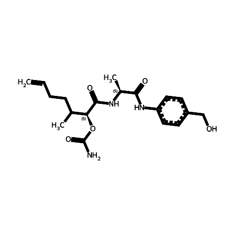 C=CCCC(C)[C@H](OC(N)=O)C(=O)N[C@@H](C)C(=O)Nc1ccc(CO)cc1